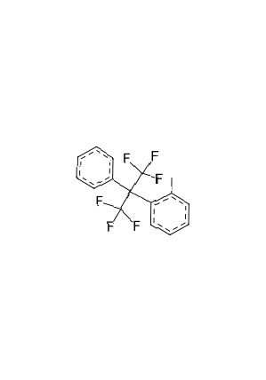 Cc1ccccc1C(c1ccccc1)(C(F)(F)F)C(F)(F)F